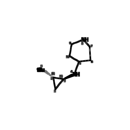 CC(C)(C)[C@H]1C[C@@H]1NC1CCNCC1